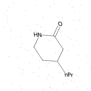 CCCC1CCNC(=O)C1